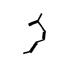 C=C(C)/C=C\C=C\C